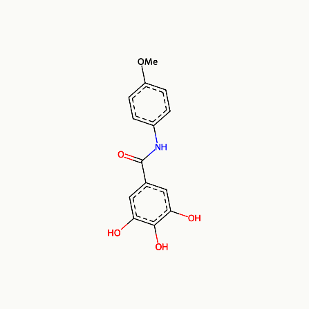 COc1ccc(NC(=O)c2cc(O)c(O)c(O)c2)cc1